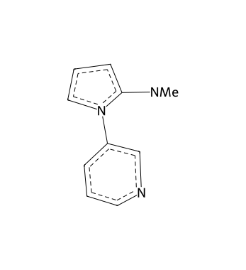 CNc1cccn1-c1cccnc1